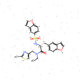 CC(C)CN(Cc1csc(C(C)C)n1)C(=O)[C@@H](Cc1ccc2occc2c1)NS(=O)(=O)c1ccc2occc2c1